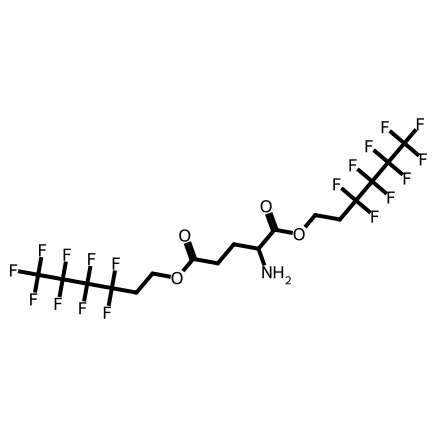 NC(CCC(=O)OCCC(F)(F)C(F)(F)C(F)(F)C(F)(F)F)C(=O)OCCC(F)(F)C(F)(F)C(F)(F)C(F)(F)F